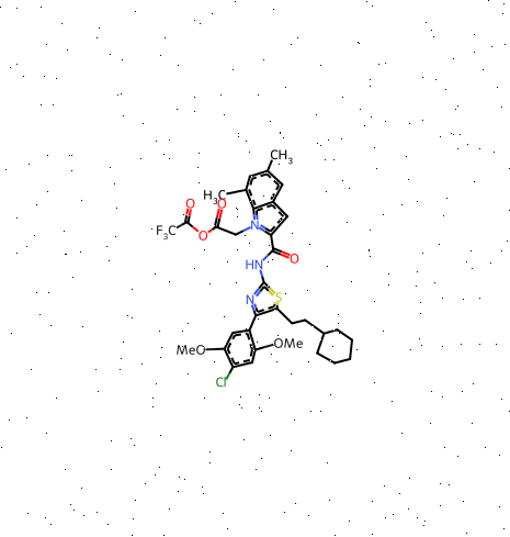 COc1cc(-c2nc(NC(=O)c3cc4cc(C)cc(C)c4n3CC(=O)OC(=O)C(F)(F)F)sc2CCC2CCCCC2)c(OC)cc1Cl